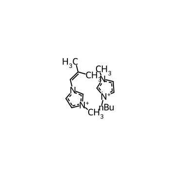 CC(C)=Cn1cc[n+](C)c1.CCCC[n+]1ccn(C)c1